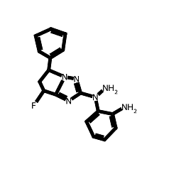 Nc1ccccc1N(N)c1nc2n(n1)C(c1ccccc1)CC2F